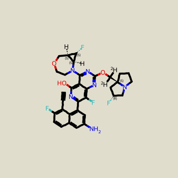 [2H]C([2H])(Oc1nc(N2CCOC[C@H]3[C@H](F)[C@H]32)c2c(O)nc(-c3cc(N)cc4ccc(F)c(C#C)c34)c(F)c2n1)[C@@]12CCCN1C[C@H](F)C2